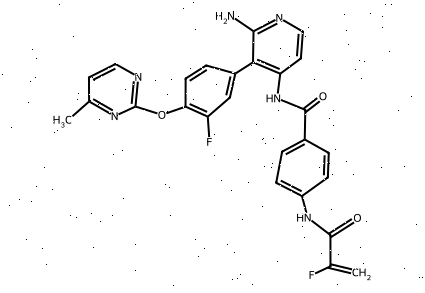 C=C(F)C(=O)Nc1ccc(C(=O)Nc2ccnc(N)c2-c2ccc(Oc3nccc(C)n3)c(F)c2)cc1